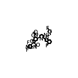 CNC(=O)c1c(-c2ccc(F)cc2F)oc2cc(N(C)S(C)(=O)=O)c(-c3ccc4nc(CN5CCC(F)C5)n5c6cccc(F)c6cc5c4n3)cc12